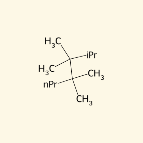 CCCC(C)(C)C(C)(C)C(C)C